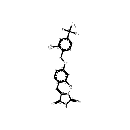 CC(F)(F)c1ccc(COc2ccc(/C=C3\SC(=O)NC3=O)c(Cl)c2)c(C(F)(F)F)c1